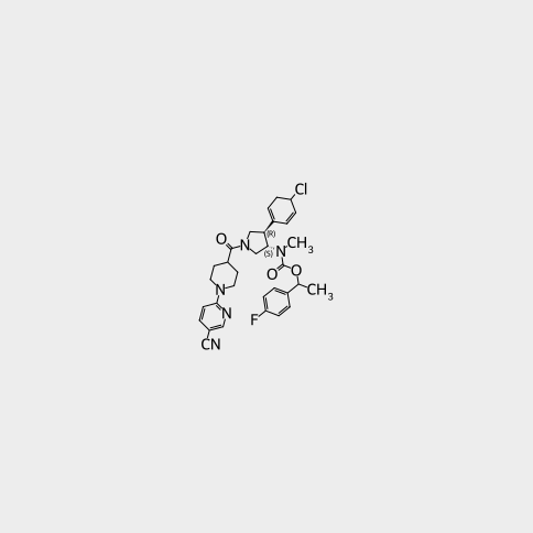 CC(OC(=O)N(C)[C@@H]1CN(C(=O)C2CCN(c3ccc(C#N)cn3)CC2)C[C@H]1C1=CCC(Cl)C=C1)c1ccc(F)cc1